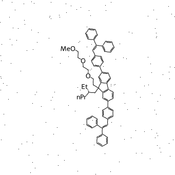 CCCC(CC)CC1(CCOCCOCCOC)c2cc(-c3ccc(C=C(c4ccccc4)c4ccccc4)cc3)ccc2-c2ccc(-c3ccc(C=C(c4ccccc4)c4ccccc4)cc3)cc21